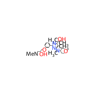 CNCC(O)COc1cccc(-c2nc(N(C)C3CCOCC3)c(C)c(C(C)(C)O)n2)c1